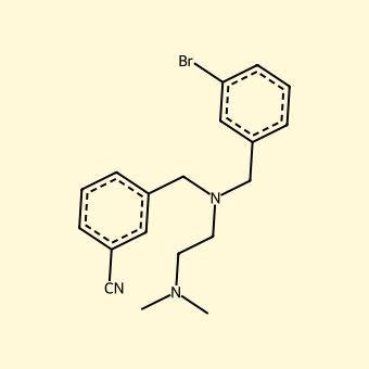 CN(C)CCN(Cc1cccc(Br)c1)Cc1cccc(C#N)c1